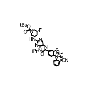 CC(C)n1c(=O)c(-c2ccc(N(c3ccccc3C#N)S(C)(=O)=O)c(F)c2)nc2cnc(N[C@H]3C[C@H](F)CN(C(=O)OC(C)(C)C)C3)nc21